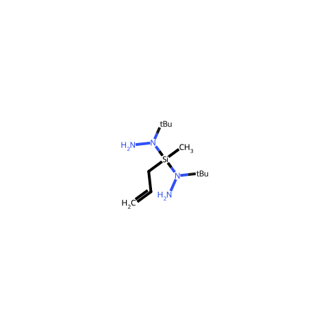 C=CC[Si](C)(N(N)C(C)(C)C)N(N)C(C)(C)C